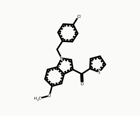 COc1ccc2c(c1)c(C(=O)c1cccs1)cn2Cc1ccc(Cl)cc1